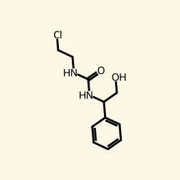 O=C(NCCCl)NC(CO)c1ccccc1